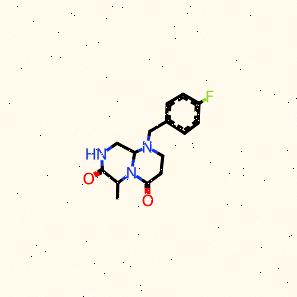 CC1C(=O)NCC2N(Cc3ccc(F)cc3)CCC(=O)N12